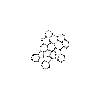 c1ccc(N(c2ccccc2)c2ccccc2-c2ccccc2-c2cccc3c2Oc2cc4c(cc2O3)-c2ccccc2C42c3ccccc3-c3ccccc32)cc1